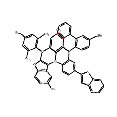 Cc1cc2c3c(c1)N(c1c(C)cc(C(C)(C)C)cc1C)c1oc4ccc(C(C)(C)C)cc4c1B3c1ccc(-c3cc4ccccc4s3)cc1N2c1ccc(C(C)(C)C)cc1-c1ccccc1